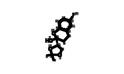 CC1(C)OC[C@H](C2(O)CCc3cc(F)ccc3O2)O1